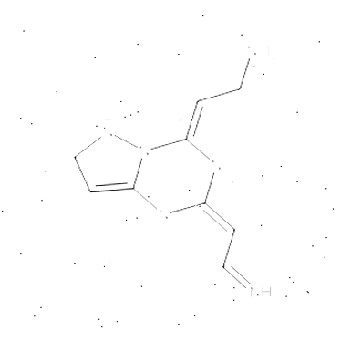 N=C/C=C1\NC2=CCNN2/C(=C/CN)N1